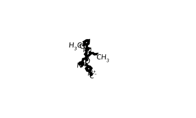 [C-]#[N+]c1ccc(Cn2cncc2CC(=O)N2Cc3nc(-c4ccccc4OC)cn3C(CCCC)C2)cc1